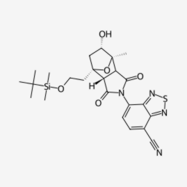 CC(C)(C)[Si](C)(C)OCC[C@]12C[C@H](O)[C@](C)(O1)C1C(=O)N(c3ccc(C#N)c4nsnc34)C(=O)[C@@H]12